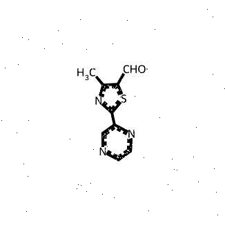 Cc1nc(-c2cnccn2)sc1[C]=O